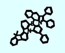 CC1(C)c2ccccc2-c2ccc3c(c21)c1cccc2c1n3-c1cc(-c3ccccc3)cc3c1B2C1c2c(c(-c4ccccc4)c(-c4ccccc4)n2-3)C=C2C=CC=CC21